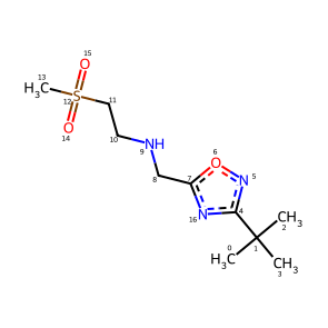 CC(C)(C)c1noc(CNCCS(C)(=O)=O)n1